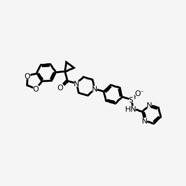 O=C(N1CCN(c2ccc([S+]([O-])Nc3ncccn3)cc2)CC1)C1(c2ccc3c(c2)OCO3)CC1